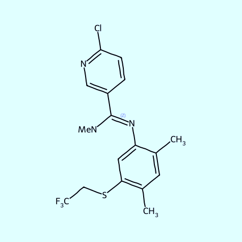 CN/C(=N\c1cc(SCC(F)(F)F)c(C)cc1C)c1ccc(Cl)nc1